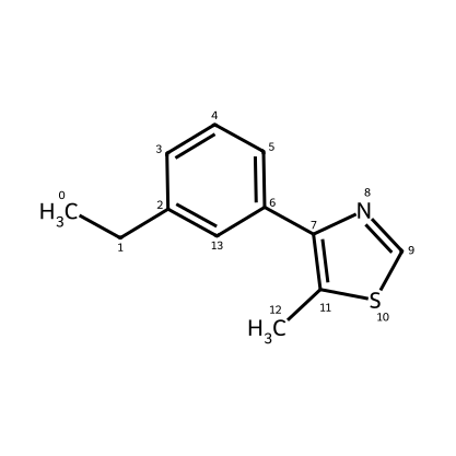 CCc1cccc(-c2ncsc2C)c1